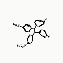 O=S(=O)(O)c1ccc(C(c2ccc(Cl)cc2)C(c2ccc(Cl)cc2)c2ccc(S(=O)(=O)O)cc2)cc1